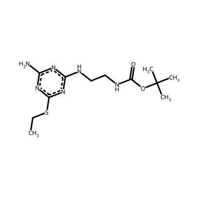 CCSc1nc(N)nc(NCCNC(=O)OC(C)(C)C)n1